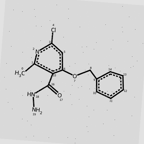 Cc1nc(Cl)cc(OCc2ccccc2)c1C(=O)NN